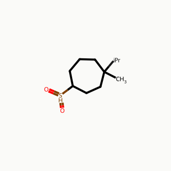 CC(C)C1(C)CCCC([SH](=O)=O)CC1